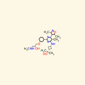 CNCC(O)COc1cccc(-c2nc(N[C@H]3C[C@@H](C(C)(C)O)C3)c(C)c(-c3c(C)noc3C)n2)c1